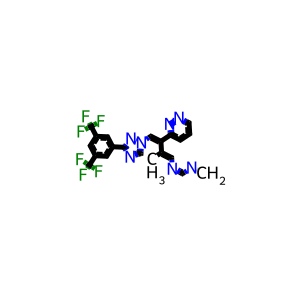 C=N\C=N/C=C(C)/C(=C\n1cnc(-c2cc(C(F)(F)F)cc(C(F)(F)F)c2)n1)c1cccnn1